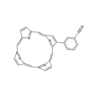 N#Cc1cccc(C2=CC3=CC4=NC(=CC5=NC(=CC6=NC(=CC2=N3)C=C6)C=C5)C=C4)c1